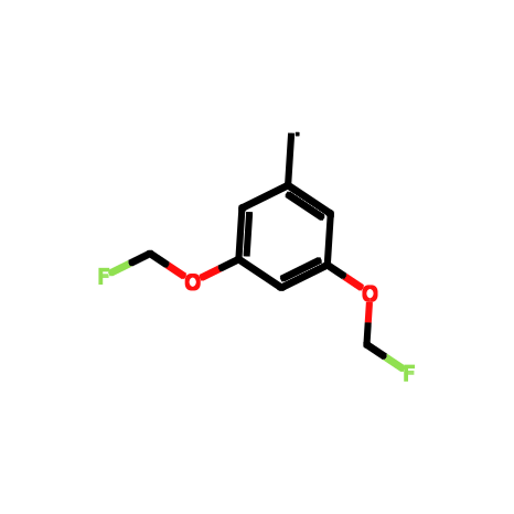 [CH2]c1cc(OCF)cc(OCF)c1